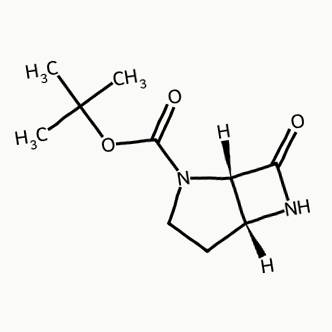 CC(C)(C)OC(=O)N1CC[C@H]2NC(=O)[C@H]21